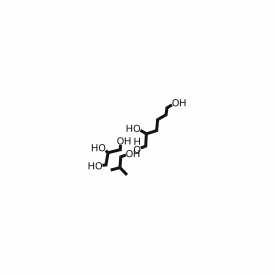 CC(C)CO.OCC(O)CO.OCCCCC(O)CO